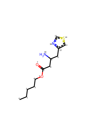 CCCCCOC(=O)CC(N)Cc1cscn1